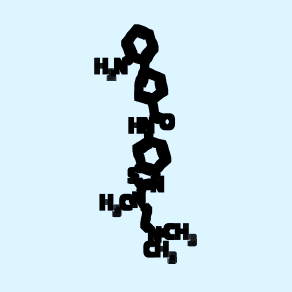 CN(C)CCN(C)c1nc2ccc(NC(=O)c3ccc(-c4ccccc4N)cc3)cc2s1